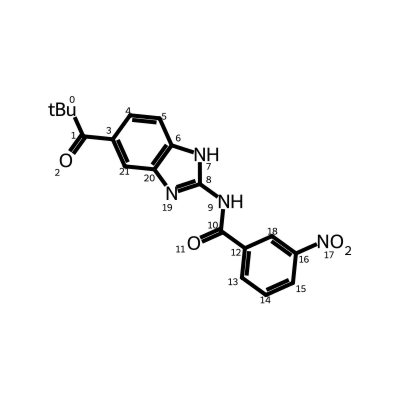 CC(C)(C)C(=O)c1ccc2[nH]c(NC(=O)c3cccc([N+](=O)[O-])c3)nc2c1